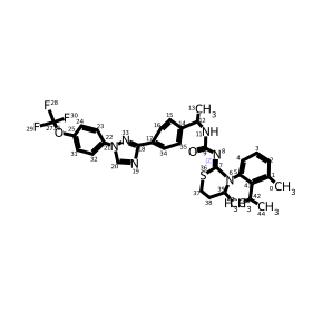 Cc1cccc(N2/C(=N/C(=O)NC(C)c3ccc(-c4ncn(-c5ccc(OC(F)(F)F)cc5)n4)cc3)SCCC2C)c1C(C)C